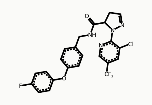 O=C(NCc1ccc(Oc2ccc(F)cc2)cc1)C1CC=NN1c1ncc(C(F)(F)F)cc1Cl